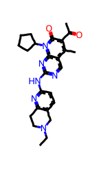 CCN1CCc2nc(Nc3ncc4c(C)c(C(C)=O)c(=O)n(C5CCCC5)c4n3)ccc2C1